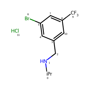 CC(C)NCc1cc(Br)cc(C(F)(F)F)c1.Cl